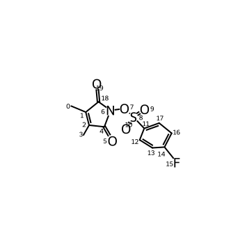 CC1=C(C)C(=O)N(OS(=O)(=O)c2ccc(F)cc2)C1=O